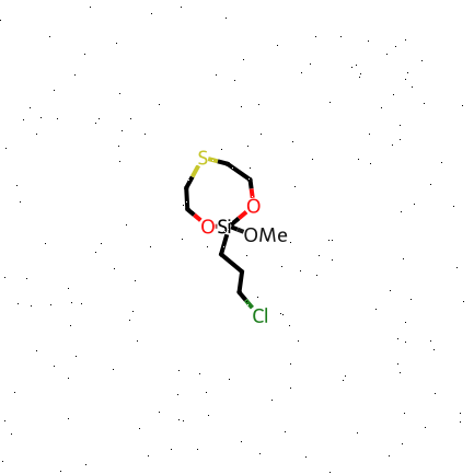 CO[Si]1(CCCCl)OCCSCCO1